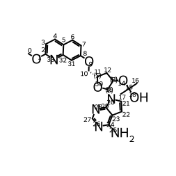 COc1ccc2ccc(OC[C@@H]3C[C@@H](OC(C)(C)O)[C@H](n4ccc5c(N)ncnc54)O3)cc2n1